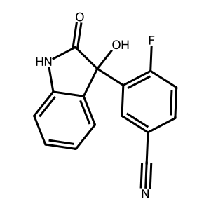 N#Cc1ccc(F)c(C2(O)C(=O)Nc3ccccc32)c1